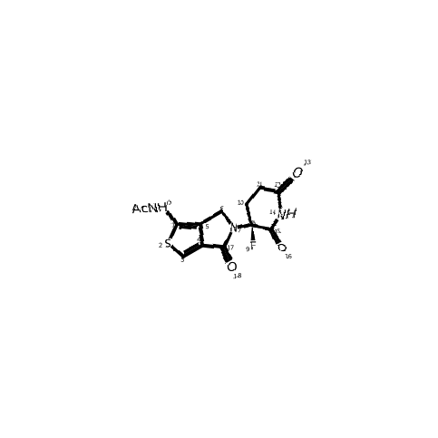 CC(=O)Nc1scc2c1CN([C@]1(F)CCC(=O)NC1=O)C2=O